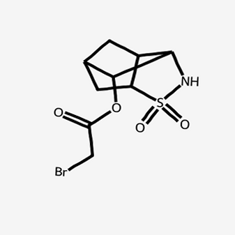 O=C(CBr)OC1C2CC3C1NS(=O)(=O)C3C2